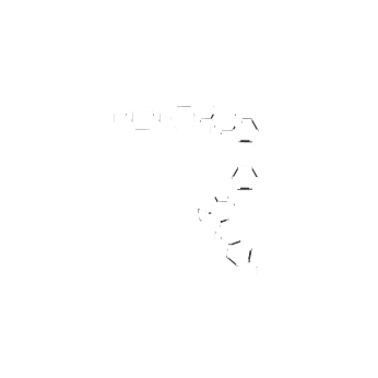 O=C(Nc1cc(Oc2ccc(NC(=O)C3(C(=O)Nc4ccc(F)cc4)CC3)c(F)c2)ccn1)N1CCC(N2CCNCC2)CC1